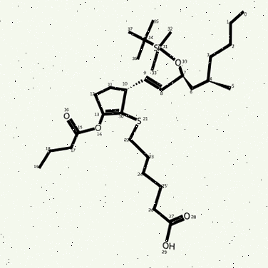 CCCC[C@@H](C)C[C@@H](C=C[C@H]1CCC(OC(=O)CCC)=C1SCCCCCC(=O)O)O[Si](C)(C)C(C)(C)C